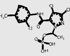 Cc1ccc(NC(=O)c2c(Cl)c(Cl)nn2C(C)OP(=O)(O)O)c(Cl)c1